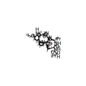 CC(C)[C@H](O)C(=O)N[C@H]1Cc2ccc3c(c2)C24c5cccc(c5NC2O3)-c2ccc(OCI)c3[nH]cc(c23)-c2cnc(o2)-c2nc(oc24)[C@H](C(C)C)NC1=O